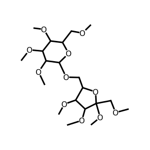 COCC1OC(OCC2OC(COC)(OC)C(OC)C2OC)C(OC)C(OC)C1OC